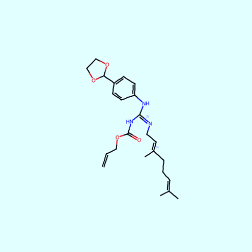 C=CCOC(=O)N/C(=N\C/C=C(\C)CCC=C(C)C)Nc1ccc(C2OCCO2)cc1